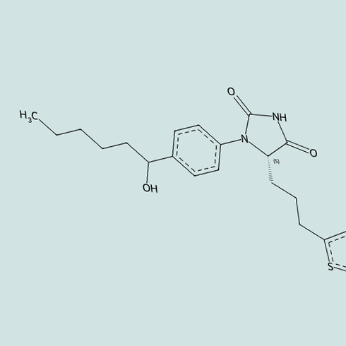 CCCCCC(O)c1ccc(N2C(=O)NC(=O)[C@@H]2CCCc2ccc(C=O)s2)cc1